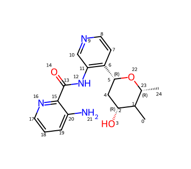 CC1[C@H](O)C[C@H](c2ccncc2NC(=O)c2ncccc2N)O[C@@H]1C